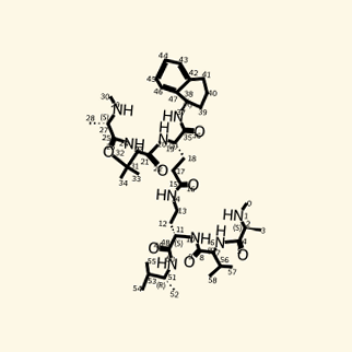 CN[C@@H](C)C(=O)N[C@H](C(=O)N[C@@H](CCNC(=O)CC[C@H](NC(=O)[C@@H](NC(=O)[C@H](C)NC)C(C)(C)C)C(=O)N[C@@H]1CCCc2ccccc21)C(=O)N[C@H](C)C(C)C)C(C)C